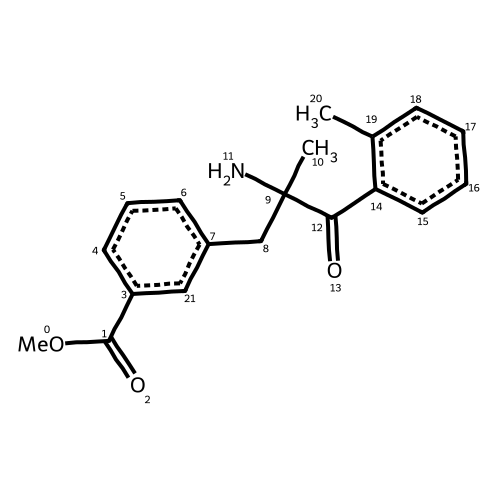 COC(=O)c1cccc(CC(C)(N)C(=O)c2ccccc2C)c1